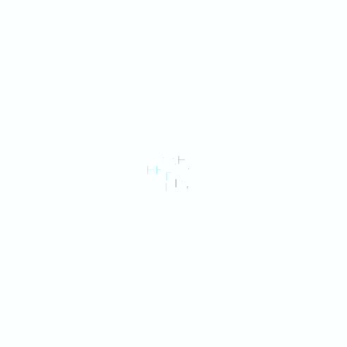 F.F.[CaH2].[Dy]